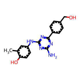 Cc1cc(Nc2nc(N)nc(-c3ccc(CO)cc3)n2)ccc1O